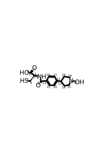 O=C(N[C@@H](CS)C(=O)O)c1ccc(C2CCN(O)CC2)cc1